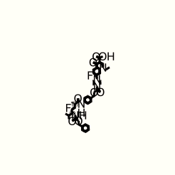 CCn1cc(C(=O)O)c(=O)c2cc(F)c(N3CCN(C(=O)OCc4ccc(NC(=O)[C@H](C)C=C(F)[C@@H](NC(=O)OCc5ccccc5)C(C)C)cc4)CC3)cc21